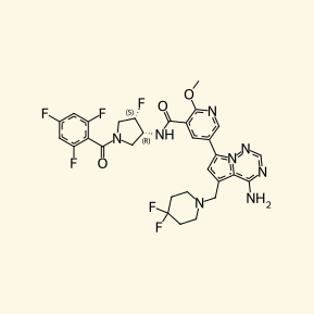 COc1ncc(-c2cc(CN3CCC(F)(F)CC3)c3c(N)ncnn23)cc1C(=O)N[C@@H]1CN(C(=O)c2c(F)cc(F)cc2F)C[C@@H]1F